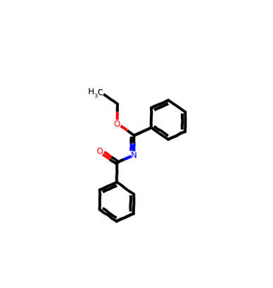 CCO/C(=N\C(=O)c1ccccc1)c1ccccc1